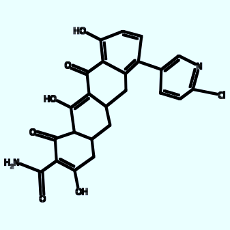 NC(=O)C1=C(O)CC2CC3Cc4c(-c5ccc(Cl)nc5)ccc(O)c4C(=O)C3=C(O)C2C1=O